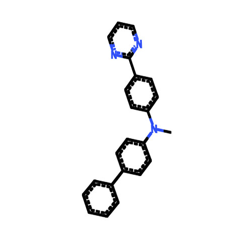 CN(c1ccc(-c2ccccc2)cc1)c1ccc(-c2ncccn2)cc1